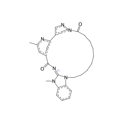 Cc1cc2cc(n1)-c1cnn(c1)C(=O)CCCCCCCCN1/C(=N/C2=O)N(C)c2ccccc21